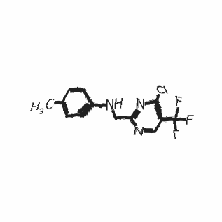 Cc1ccc(NCc2ncc(C(F)(F)F)c(Cl)n2)cc1